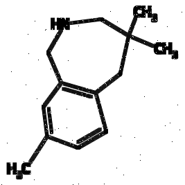 Cc1ccc2c(c1)CNCC(C)(C)C2